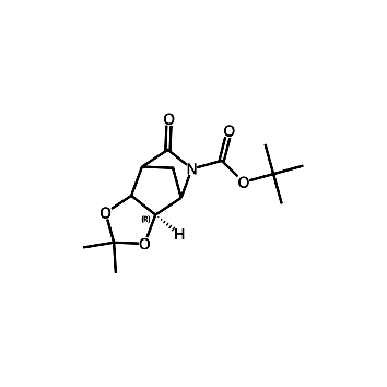 CC(C)(C)OC(=O)N1C(=O)C2CC1[C@H]1OC(C)(C)OC21